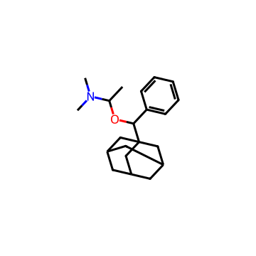 CC(OC(c1ccccc1)C12CC3CC(CC(C3)C1)C2)N(C)C